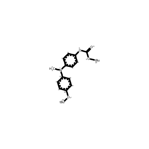 CN(c1ccc(OC(=O)OC(C)(C)C)cc1)c1ccc(OC(C)(C)C)cc1